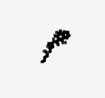 CCCC[S+]([O-])Cc1cc(NC(=O)C2=C(O)c3ccccc3S(=O)(=O)N2C)no1